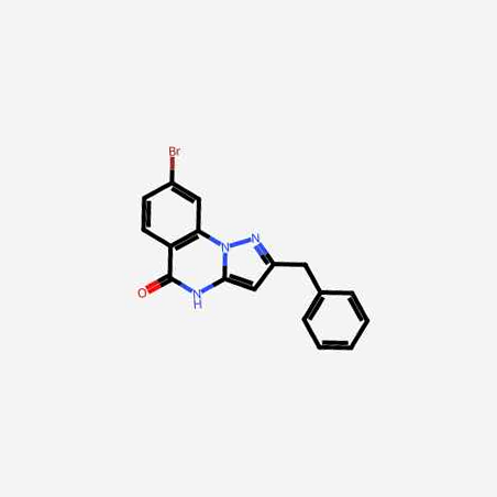 O=c1[nH]c2cc(Cc3ccccc3)nn2c2cc(Br)ccc12